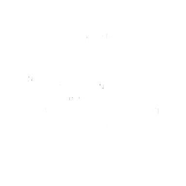 Cc1noc(-c2ccnc(Cl)c2)c1N(C(=O)O)C(C)c1ccccc1Cl